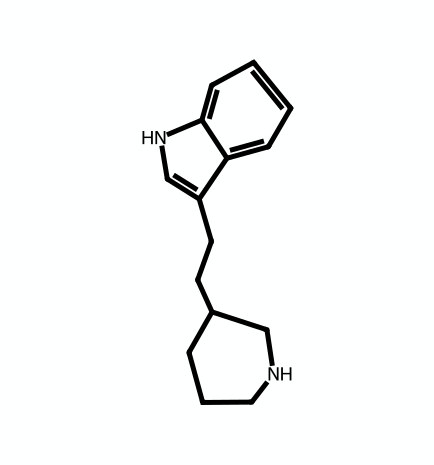 c1ccc2c(CCC3CCCNC3)c[nH]c2c1